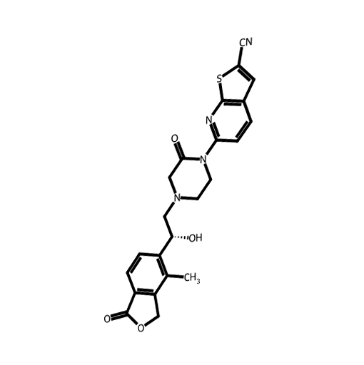 Cc1c([C@@H](O)CN2CCN(c3ccc4cc(C#N)sc4n3)C(=O)C2)ccc2c1COC2=O